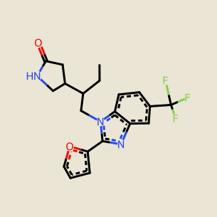 CCC(Cn1c(-c2ccco2)nc2cc(C(F)(F)F)ccc21)C1CNC(=O)C1